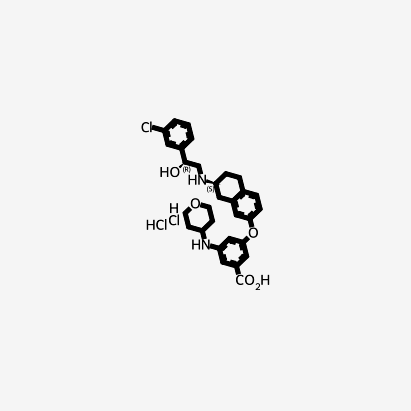 Cl.Cl.O=C(O)c1cc(NC2CCOCC2)cc(Oc2ccc3c(c2)C[C@@H](NC[C@H](O)c2cccc(Cl)c2)CC3)c1